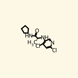 C[C@@H](Nc1cnc(Cl)cc1Cl)C(=O)NC1CCCC1